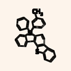 Cc1cccc([Si]2(c3ccccc3)c3ccccc3-c3c2ccc2c3sc3ccccc32)c1